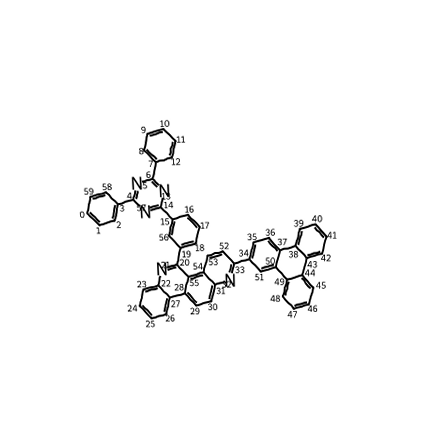 c1ccc(-c2nc(-c3ccccc3)nc(-c3cccc(-c4nc5ccccc5c5ccc6nc(-c7ccc8c9ccccc9c9ccccc9c8c7)ccc6c45)c3)n2)cc1